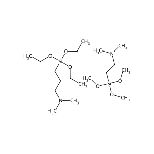 CCO[Si](CCCN(C)C)(OCC)OCC.CO[Si](CCN(C)C)(OC)OC